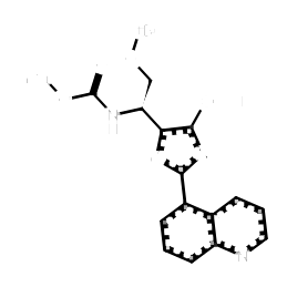 CCCCOC(=O)N[C@@H](COC(C)(C)C)c1oc(-c2cccc3ncccc23)nc1C(=O)O